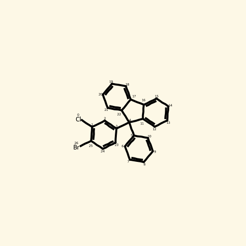 Clc1cc(C2(c3ccccc3)c3ccccc3-c3ccccc32)ccc1Br